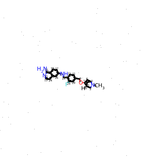 CN1C[C@H]2CC1C[C@@H]2OCc1ccc(CNc2ccc3c(N)nccc3c2)c(F)c1